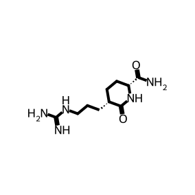 N=C(N)NCCC[C@@H]1CC[C@H](C(N)=O)NC1=O